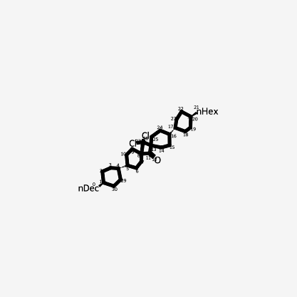 CCCCCCCCCC[C@H]1CC[C@H](C2CCC3(CC2)C(=O)C2(CCC([C@H]4CC[C@H](CCCCCC)CC4)CC2)C3(Cl)Cl)CC1